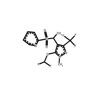 CC(c1c(C(F)(F)F)nn(C)c1OC(F)F)S(=O)(=O)c1ccccn1